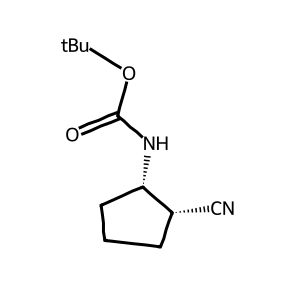 CC(C)(C)OC(=O)N[C@H]1CCC[C@H]1C#N